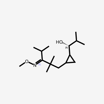 CO/N=C(\C(C)C)C(C)(C)CC1CC1[C@H](O)C(C)C